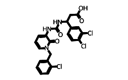 O=C(O)CC(NC(=O)Nc1cccn(Cc2ccccc2Cl)c1=O)c1ccc(Cl)c(Cl)c1